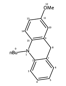 CCCCN1c2ccccc2Cc2cc(OC)ccc21